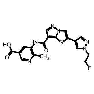 Cc1ncc(C(=O)O)cc1NC(=O)c1cnn2cc(-c3cnn(CCF)c3)sc12